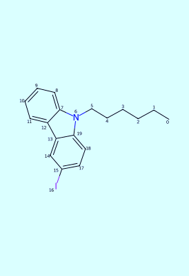 CCCCCCn1c2ccccc2c2cc(I)ccc21